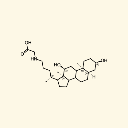 C[C@H](CCCNCC(=O)O)C1CCC2C3CC[C@@H]4C[C@H](O)CC[C@]4(C)C3C[C@H](O)[C@@]21C